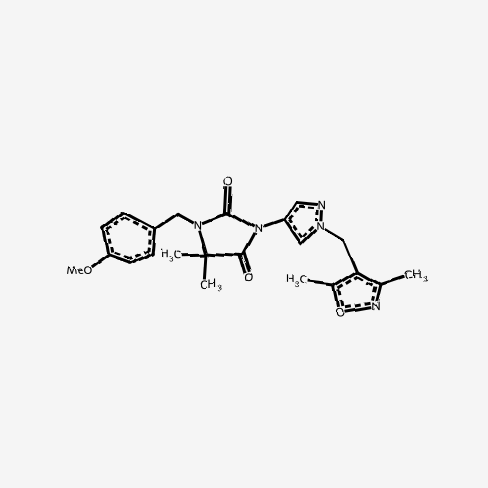 COc1ccc(CN2C(=O)N(c3cnn(Cc4c(C)noc4C)c3)C(=O)C2(C)C)cc1